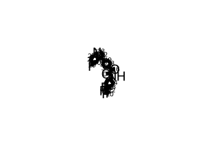 O=C(Nc1ccc(S(F)(F)(F)(F)F)cc1)C(=O)C1CCC(c2ccnc3ccc(F)cc23)CC1